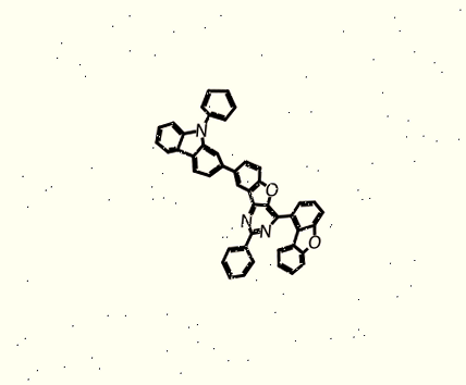 c1ccc(-c2nc(-c3cccc4oc5ccccc5c34)c3oc4ccc(-c5ccc6c7ccccc7n(-c7ccccc7)c6c5)cc4c3n2)cc1